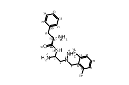 NC(CN(N)Cc1c(F)cccc1F)NC(=O)[C@@H](N)Cc1ccccc1